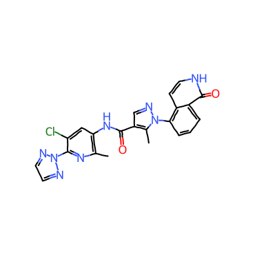 Cc1nc(-n2nccn2)c(Cl)cc1NC(=O)c1cnn(-c2cccc3c(=O)[nH]ccc23)c1C